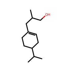 CC(CO)CC1=CCC(C(C)C)CC1